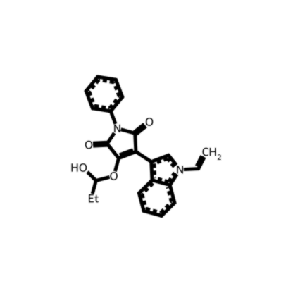 C=Cn1cc(C2=C(OC(O)CC)C(=O)N(c3ccccc3)C2=O)c2ccccc21